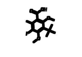 COc1c(F)c(C)c(C(=O)O)c(OC)c1C(C)(C)C